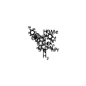 CCCN(C)CC(=O)N1CCc2cc(OC)c(Nc3nc(Nc4ccsc4C(N)=O)c4ccn(S(=O)(=O)c5ccc(C)cc5)c4n3)cc21